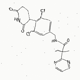 CC(C)(C(=O)NCc1cc(Cl)c(C2CCC(=O)NC2=O)c(Cl)c1)c1ncccn1